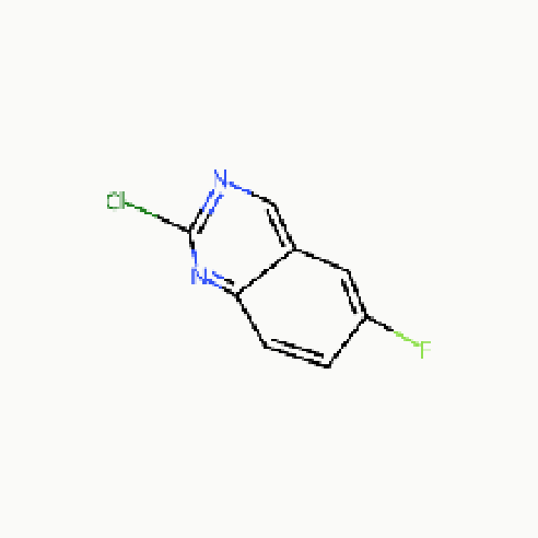 Fc1ccc2nc(Cl)ncc2c1